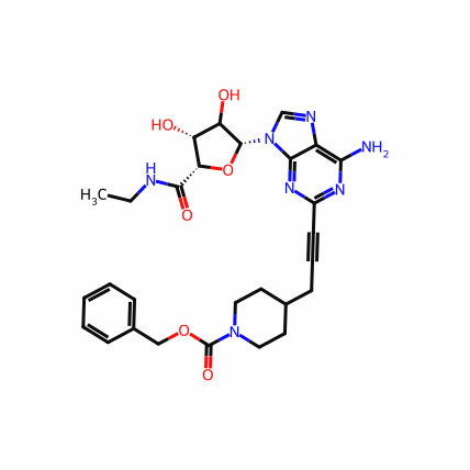 CCNC(=O)[C@H]1O[C@@H](n2cnc3c(N)nc(C#CCC4CCN(C(=O)OCc5ccccc5)CC4)nc32)C(O)[C@H]1O